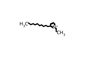 CCCCCCCCCCCc1ccc[n+](CCC)c1